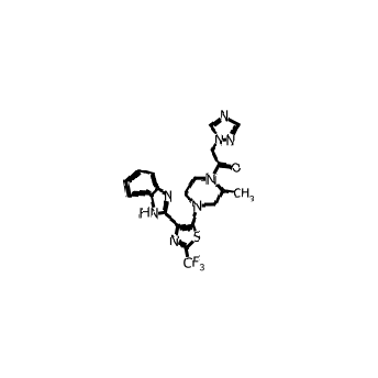 CC1CN(c2sc(C(F)(F)F)nc2-c2nc3ccccc3[nH]2)CCN1C(=O)Cn1cncn1